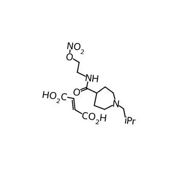 CC(C)CN1CCC(C(=O)NCCO[N+](=O)[O-])CC1.O=C(O)C=CC(=O)O